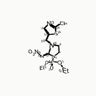 CCOP(=O)(OCC)N1CCN(Cc2cnc(Cl)s2)C1=N[N+](=O)[O-]